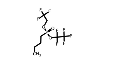 CCCCP(=O)(OCC(F)(F)F)OC(F)(F)C(F)(F)F